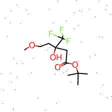 COCCC(O)(CC(=O)OC(C)(C)C)C(F)(F)F